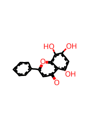 O=c1cc(-c2ccccc2)oc2c(O)c(O)cc(O)c12